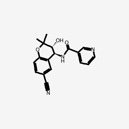 CC1(C)Oc2ccc(C#N)cc2[C@H](NC(=O)c2cccnc2)[C@H]1O